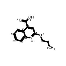 CCCOc1cc(C(=O)O)c2ccccc2n1